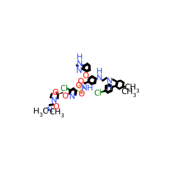 CN(C)CC(=O)N1CCO[C@@H](COc2ncc(S(=O)(=O)NC(=O)c3ccc(NCCNCC4=C(c5ccc(Cl)cc5)CC(C)(C)CC4)cc3Oc3cccc4[nH]cnc34)cc2Cl)C1